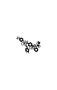 CN(C)c1ccc(NC(=O)N(CCc2ccncc2)Cc2ccc(C(=O)Nc3ccccc3NC(=O)OC(C)(C)C)cc2)cc1